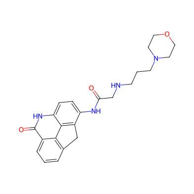 O=C(CNCCCN1CCOCC1)Nc1ccc2[nH]c(=O)c3cccc4c3c2c1C4